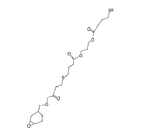 O=C(CCSCCCC(=O)OCCCOC(=O)CCCS)COCC1CCC2OC2C1